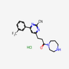 Cl.N#Cc1nc(CCC(=O)N2CCCNCC2)cc(-c2cccc(C(F)(F)F)c2)n1